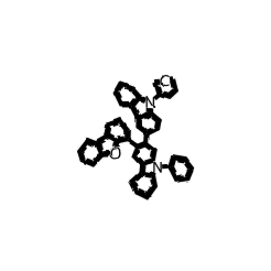 c1ccc(-n2c3ccccc3c3cc(-c4cc5c(cc4-c4cccc6c4oc4ccccc46)c4ccccc4n5-c4ccccc4)ccc32)cc1